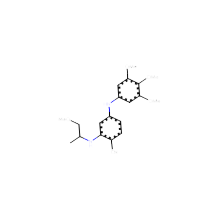 COCC(C)Nc1cc(Nc2cc(OC)c(OC)c(OC)c2)ccc1C#N